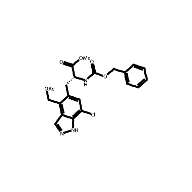 COC(=O)[C@@H](Cc1cc(Cl)c2[nH]ncc2c1COC(C)=O)NC(=O)OCc1ccccc1